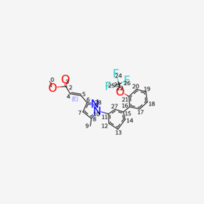 COC(=O)/C=C/c1cc(C)n(-c2cccc(-c3ccccc3OC(F)(F)F)c2)n1